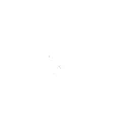 [Br-].[Br-].[Co].[Mn+2]